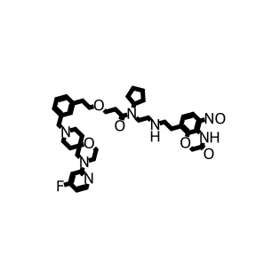 O=Nc1ccc(CCNCCN(C(=O)CCOCCc2cccc(CN3CCC4(CC3)CN(c3cc(F)ccn3)CCO4)c2)C2CCCC2)c2c1NC(=O)CO2